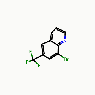 FC(F)(F)c1cc(Br)c2ncccc2c1